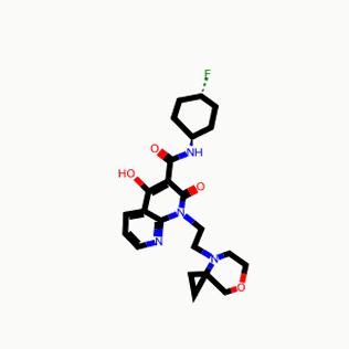 O=C(N[C@H]1CC[C@@H](F)CC1)c1c(O)c2cccnc2n(CCN2CCOCC23CC3)c1=O